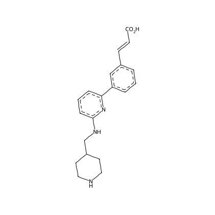 O=C(O)/C=C/c1cccc(-c2cccc(NCC3CCNCC3)n2)c1